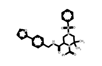 CC(C)C(=O)N1C(C(=O)NCc2ccc(-c3ccco3)cc2)CN(S(=O)(=O)c2ccccc2)CC1(C)C